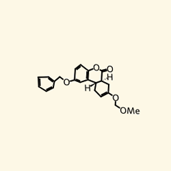 COCOC1=CC[C@@H]2c3cc(OCc4ccccc4)ccc3OC(=O)[C@H]2C1